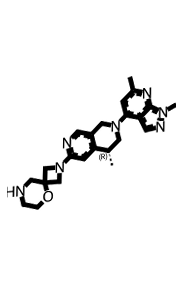 Cc1cc(N2Cc3cnc(N4CC5(CNCCO5)C4)cc3[C@@H](C)C2)c2cnn(C)c2n1